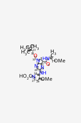 COC[C@@H](C)NC(=O)c1cn(COCC[Si](C)(C)C)c2ncc(N[C@H]3CN(C(=O)O)CC[C@H]3OC)nc12